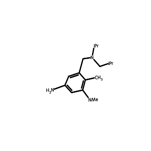 CNc1cc(N)cc(CN(CC(C)C)C(C)C)c1C